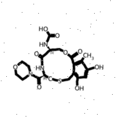 Cc1c(O)cc(O)c2c1C(=O)OC[C@H](NC(=O)O)C(=O)N[C@H](C(=O)N1CCOCC1)CSC2